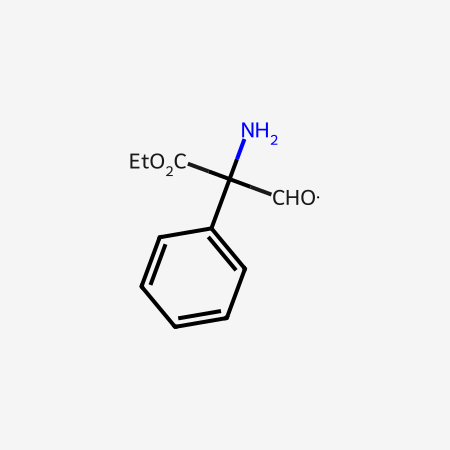 CCOC(=O)C(N)([C]=O)c1ccccc1